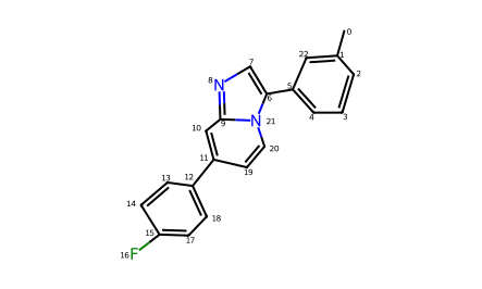 Cc1cccc(-c2cnc3cc(-c4ccc(F)cc4)ccn23)c1